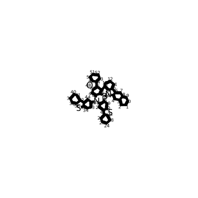 c1ccc2cc3c(cc2c1)c1cccc2c1n3B1c3cc4sc5ccccc5c4cc3N(c3ccc4sc5ccccc5c4c3)c3cc4oc5ccccc5c4c-2c31